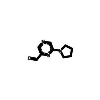 O=Cc1cncc(N2CCCC2)n1